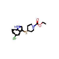 CCOC(=O)N1CCC(Sc2c[nH]c3ccc(Br)cc23)CC1